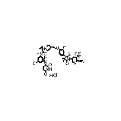 CCc1cc(N2C(=S)N(c3cnc(C#N)c(C(F)(F)F)c3)C(=O)C2(C)C)ccc1OCCC1CCN(C2(C(=O)Nc3cc(Cl)cc(NC4CCC(=O)NC4=O)c3)CC2)CC1.Cl